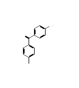 Cc1ccc(C(=O)c2ccc(N)cc2)cc1